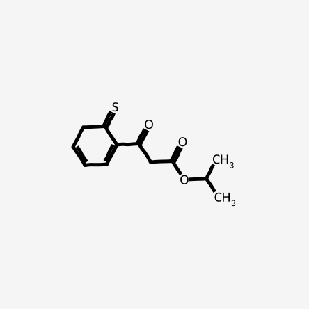 CC(C)OC(=O)CC(=O)C1=CC=CCC1=S